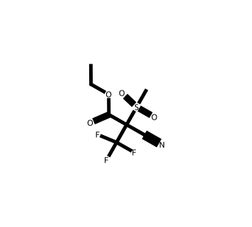 CCOC(=O)C(C#N)(C(F)(F)F)S(C)(=O)=O